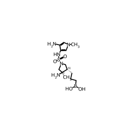 Cn1cc(N)c(NS(=O)(=O)N2C[C@H](CCCB(O)O)[C@@](C)(N)C2)c1